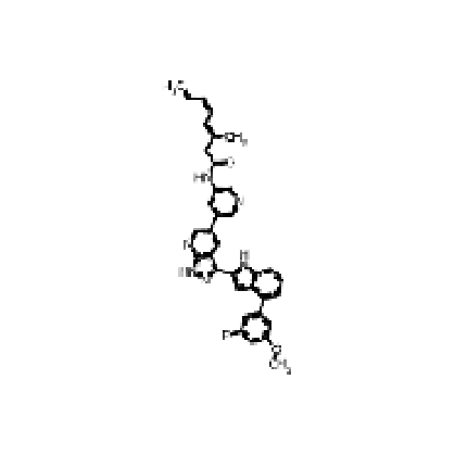 C=C/C=C\C=C(/C)CC(=O)Nc1cncc(-c2cnc3[nH]nc(-c4cc5c(-c6cc(F)cc(OC)c6)cccc5[nH]4)c3c2)c1